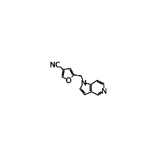 N#Cc1coc(Cn2ccc3cnccc32)c1